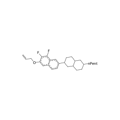 C=CCOc1cc2ccc(C3CCC4CC(CCCCC)CCC4C3)cc2c(F)c1F